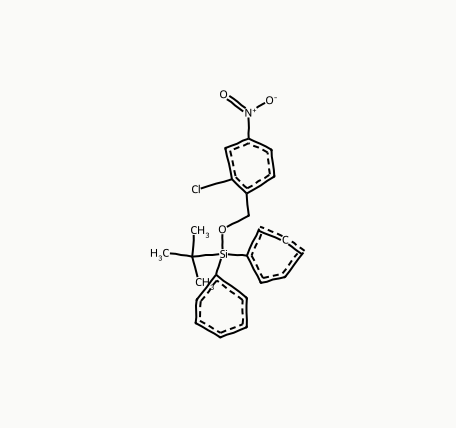 CC(C)(C)[Si](OCc1ccc([N+](=O)[O-])cc1Cl)(c1ccccc1)c1ccccc1